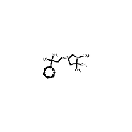 CC(N)(CC[C@@H]1CN(C(=O)O)C(C)(C)C1)c1ccccn1